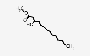 CCCCCCCCCCCC(O)CC(=O)OCC